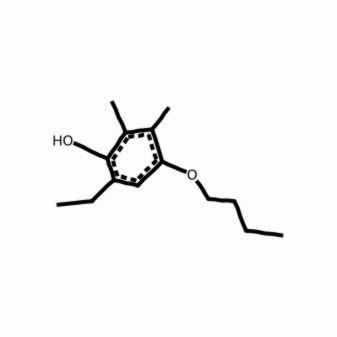 CCCCOc1cc(CC)c(O)c(C)c1C